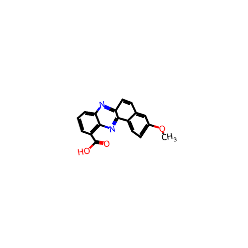 COc1ccc2c(ccc3nc4cccc(C(=O)O)c4nc32)c1